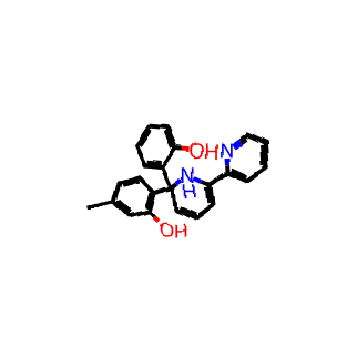 Cc1ccc(C2(c3ccccc3O)C=CC=C(c3ccccn3)N2)c(O)c1